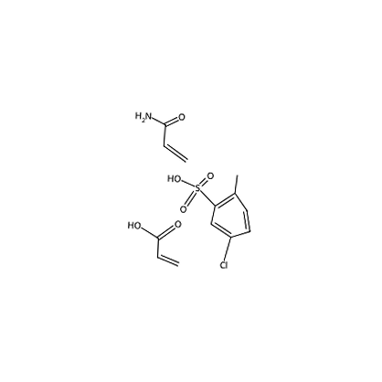 C=CC(=O)O.C=CC(N)=O.Cc1ccc(Cl)cc1S(=O)(=O)O